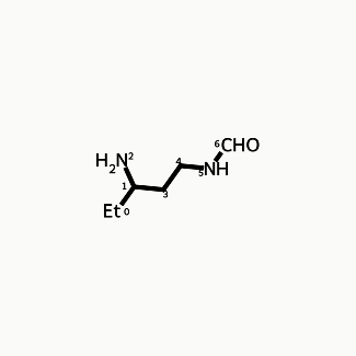 CCC(N)CCNC=O